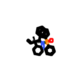 C=C[C@](C)(C1CCCCC1)[C@@H](NP(=O)(c1ccccc1)c1ccccc1)c1ccccc1